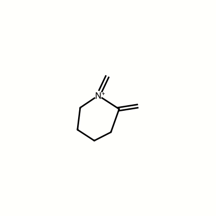 C=C1CCCC[N+]1=C